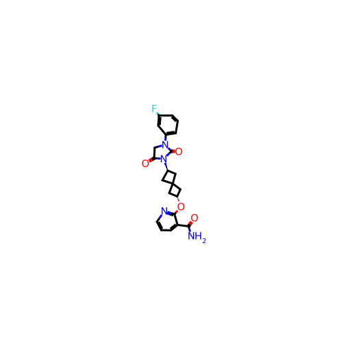 NC(=O)c1cccnc1O[C@H]1CC2(C1)C[C@H](N1C(=O)CN(c3cccc(F)c3)C1=O)C2